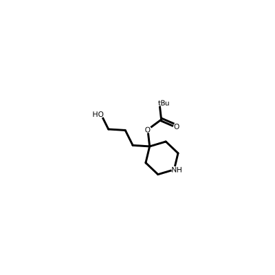 CC(C)(C)C(=O)OC1(CCCO)CCNCC1